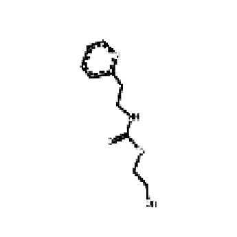 O=C(NCCc1ccccn1)OCCO